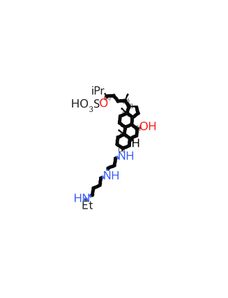 CCNCCCCNCCCN[C@H]1CC[C@]2(C)C3CC[C@@]4(C)C(CC[C@@H]4[C@H](C)CC[C@@H](OS(=O)(=O)O)C(C)C)C3[C@@H](O)C[C@@H]2C1